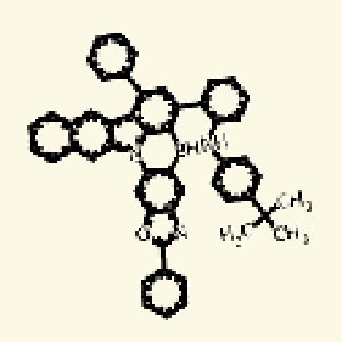 CC(C)(C)c1ccc(Nc2ccccc2-c2cc(-c3ccccc3)c3c4cc5ccccc5cc4n4c3c2Bc2cc3nc(-c5ccccc5)oc3cc2-4)cc1